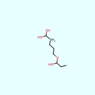 [CH2]CC(O)OCCC[SiH2]C(O)O